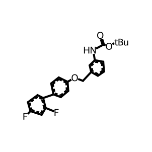 CC(C)(C)OC(=O)Nc1cccc(COc2ccc(-c3ccc(F)cc3F)cc2)c1